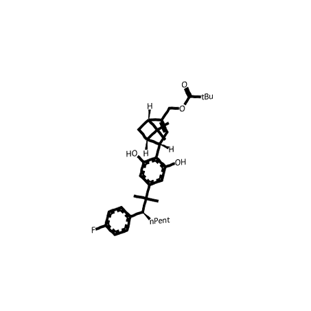 CCCCC[C@@H](c1ccc(F)cc1)C(C)(C)c1cc(O)c([C@H]2C=C(COC(=O)C(C)(C)C)[C@H]3C[C@@H]2C3(C)C)c(O)c1